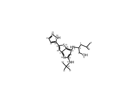 CC(C)CC(CO)Nc1cc(NC(C)(C)C)nc2cc(-c3ccn[nH]3)sc12